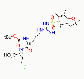 Cc1c(C)c(S(=O)(=O)NC(=N)NCCC[C@@H](NC(=O)OC(C)(C)C)C(=O)N[C@@H](CCCl)C(=O)O)c(C)c2c1OC(C)(C)C2